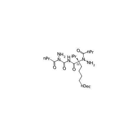 CCCCCCCCCCCCCC[C@@](C(=O)NC(=O)N(N)C(=O)CCC)(C(C)C)N(N)C(=O)CCC